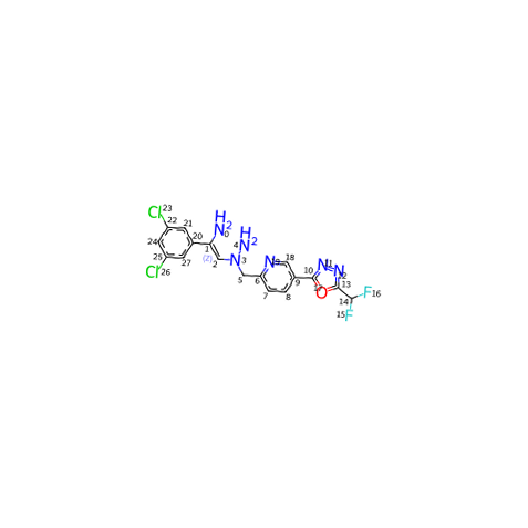 N/C(=C\N(N)Cc1ccc(-c2nnc(C(F)F)o2)cn1)c1cc(Cl)cc(Cl)c1